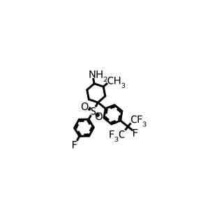 CC1CC(c2ccc(C(F)(C(F)(F)F)C(F)(F)F)cc2)(S(=O)(=O)c2ccc(F)cc2)CCC1N